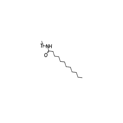 CCCCCCCCCCCC(=O)[NH][Ti][CH3]